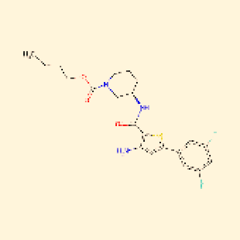 CCCCOC(=O)N1CCC[C@@H](NC(=O)c2sc(-c3cc(F)cc(F)c3)cc2N)C1